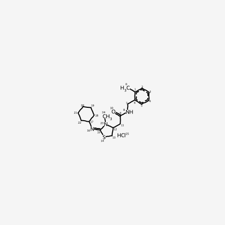 Cc1ccccc1CNC(=O)CC1CSC(=NC2CCCCC2)N1C.Cl